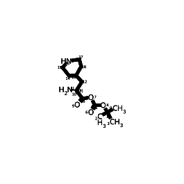 CC(C)(C)OC(=O)OC(=O)[C@H](N)CC1CCNCC1